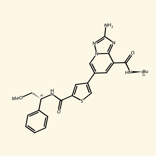 CC[C@H](C)NC(=O)c1cc(-c2csc(C(=O)N[C@@H](COC)c3ccccc3)c2)cn2nc(N)nc12